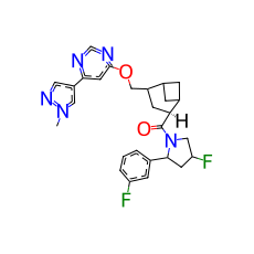 Cn1cc(-c2cc(OCC3C[C@H](C(=O)N4CC(F)CC4c4cccc(F)c4)C4CC3C4)ncn2)cn1